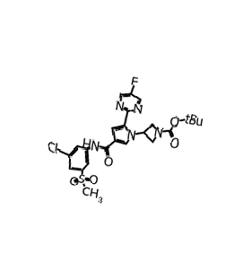 CC(C)(C)OC(=O)N1CC(n2cc(C(=O)Nc3cc(Cl)cc(S(C)(=O)=O)c3)cc2-c2ncc(F)cn2)C1